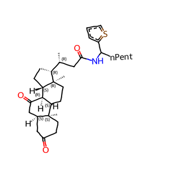 CCCCCC(NC(=O)C[C@@H](C)[C@H]1CC[C@H]2[C@@H]3C(=O)C[C@@H]4CC(=O)CC[C@]4(C)[C@H]3CC[C@]12C)c1cccs1